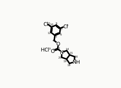 Cl.O=C(OCc1cc(Cl)cc(Cl)c1)N1CC2CNCC2C1